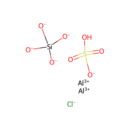 O=S(=O)([O-])O.[Al+3].[Al+3].[Cl-].[O-][Si]([O-])([O-])[O-]